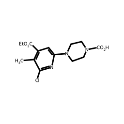 CCOC(=O)c1cc(N2CCN(C(=O)O)CC2)nc(Cl)c1C